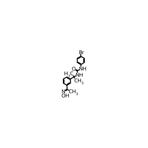 C/C(=N\O)c1cccc(C(C)(C)NC(=O)Nc2ccc(Br)cc2)c1